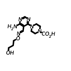 Nc1ncnc(N2CCN(C(=O)O)CC2)c1/C=N/OCCCO